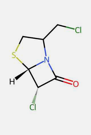 O=C1[C@H](Cl)[C@@H]2SCC(CCl)N12